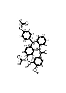 COc1ccc(C(=O)Nc2ccccc2C(c2ccc(OC(C)=O)cc2)c2ccc(OC(C)=O)cc2)cc1OC